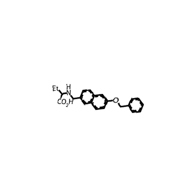 CCC(NCc1ccc2cc(OCc3ccccc3)ccc2c1)C(=O)O